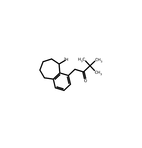 [2H]C1CCCCc2cccc(CC(=O)C(C)(C)C)c21